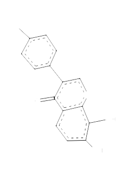 O=c1c(-c2ccc(F)cc2)coc2c(O)c(O)ccc12